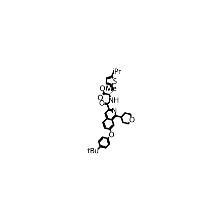 COC(=O)[C@H](Cc1ccc(C(C)C)s1)NC(=O)c1cc2ccc(Oc3ccc(C(C)(C)C)cc3)cc2c(C2CCOCC2)n1